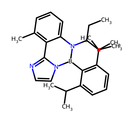 CCC(CC)N1B(c2c(C(C)C)cccc2C(C)C)n2ccnc2-c2c(C)cccc21